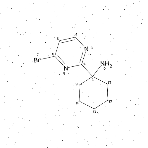 NC1(c2nccc(Br)n2)CCCCC1